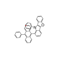 c1ccc(-c2c3ccccc3c(-c3cccc4c5oc6ccccc6c5n(-c5ccccc5)c34)c3ccccc23)cc1